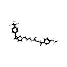 CNSc1ccc(/C(C)=N/N=C(\C)SCCCN2CCC3(CC3c3ccc(C(F)(F)F)cc3)C2)cc1